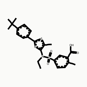 CCN(c1nc(-c2ccc(C(C)(C)C)cc2)sc1C)S(=O)(=O)c1ccc(C)c(C(=O)O)c1